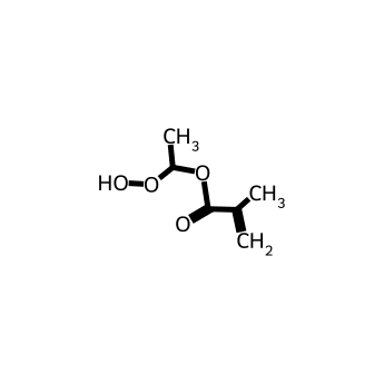 C=C(C)C(=O)OC(C)OO